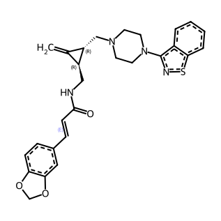 C=C1[C@H](CNC(=O)/C=C/c2ccc3c(c2)OCO3)[C@H]1CN1CCN(c2nsc3ccccc23)CC1